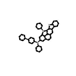 c1ccc(-c2ccc(N(c3ccccc3)c3cc4ccc5cc6c7ccccc7sc6c6c5c4c(c3)n6-c3ccccc3)cc2)cc1